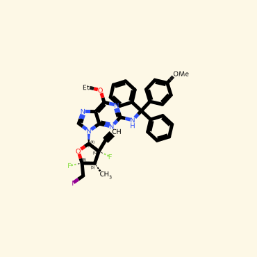 C#C[C@]1(F)[C@H](n2cnc3c(OCC)nc(NC(c4ccccc4)(c4ccccc4)c4ccc(OC)cc4)nc32)O[C@](F)(CI)[C@H]1C